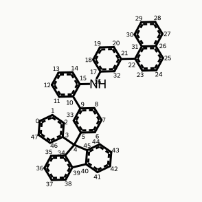 c1ccc(C2(c3cccc(-c4ccccc4Nc4cccc(-c5cccc6ccccc56)c4)c3)c3ccccc3-c3ccccc32)cc1